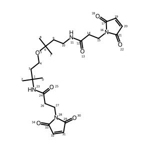 CC(C)(CCOC(C)(C)CCNC(=O)CCN1C(=O)C=CC1=O)NC(=O)CCN1C(=O)C=CC1=O